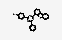 Brc1ccc(-c2nc(-c3ccccc3)nc(-c3cccc4c3sc3ccccc34)n2)cc1